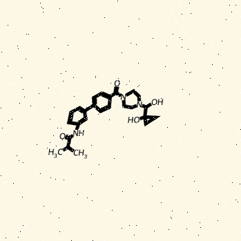 CC(C)C(=O)Nc1cccc(-c2ccc(C(=O)N3CCN(C(O)C4(O)CC4)CC3)cc2)c1